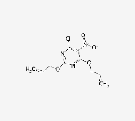 C=CCOc1nc(Cl)c([N+](=O)[O-])c(OCC=C)n1